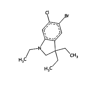 CCN1CC(CC)(CC)c2cc(Br)c(Cl)cc21